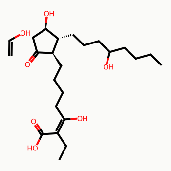 C=CO.CCCCC(O)CCC[C@H]1[C@H](O)CC(=O)[C@@H]1CCCCC(O)=C(CC)C(=O)O